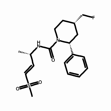 C[C@@H](/C=C/S(C)(=O)=O)NC(=O)N1CC[C@H](CF)C[C@@H]1c1ccccc1